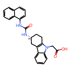 O=C(O)Cn1c2c(c3ccccc31)C[C@H](NC(=O)Nc1cccc3ccccc13)CC2